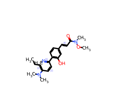 CC/C=C(/C=C\C(=N/C)c1ccc(/C=C/C(=O)N(C)OC)cc1O)N(C)C